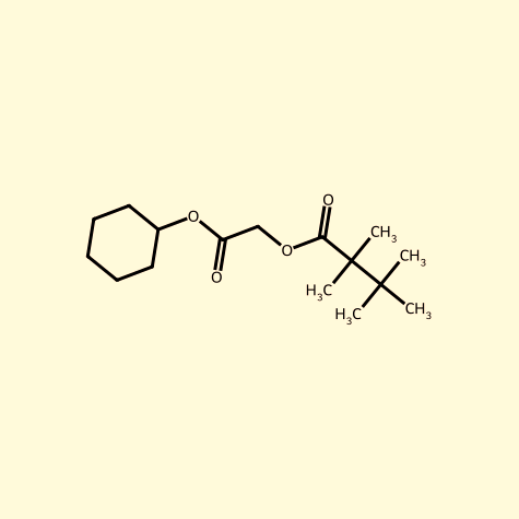 CC(C)(C)C(C)(C)C(=O)OCC(=O)OC1CCCCC1